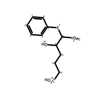 CCCCCCCCCCC(Sc1ccccc1)C(O)CCCC(=O)O